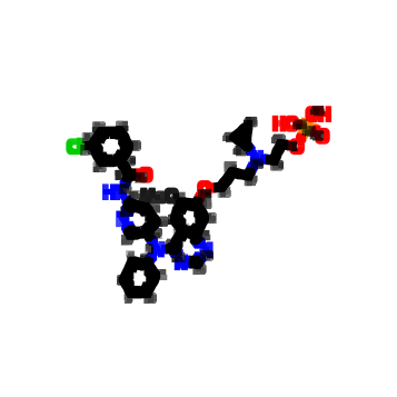 COc1cc2c(N(c3ccccc3)c3ccc(NC(=O)c4cccc(Cl)c4)nc3)ncnc2cc1OCCCN(CCOP(=O)(O)O)C1CC1